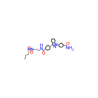 CCCCCS(=O)(=O)NCCCNC(=O)c1ccc(-c2nn(-c3ccc(C(N)=O)cc3)c3ccccc23)cc1